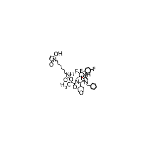 C[C@H](OC(=O)NCCCCCCN1C(=O)C=CC1O)C(=O)N(C[C@@H]1CNC[C@@H]1F)[C@@H](c1nc(-c2cc(F)ccc2F)cn1Cc1ccccc1)C1CCOCC1